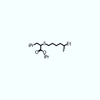 CCC(F)CCCCSC(CC(C)C)C(=O)OC(C)C